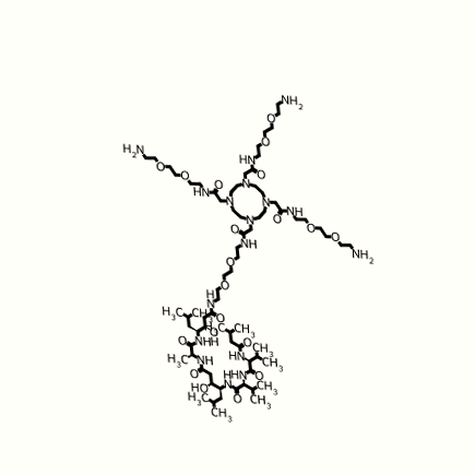 CC(C)CC(=O)N[C@H](C(=O)N[C@H](C(=O)N[C@@H](CC(C)C)[C@@H](O)CC(=O)N[C@@H](C)C(=O)N[C@@H](CC(C)C)[C@@H](O)CC(=O)NCCOCCOCCNC(=O)CN1CCN(CC(=O)NCCOCCOCCN)CCN(CC(=O)NCCOCCOCCN)CCN(CC(=O)NCCOCCOCCN)CC1)C(C)C)C(C)C